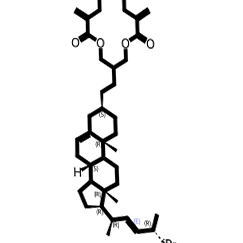 C=C(CO)C(=O)OCC(CC[C@H]1CC[C@@]2(C)C(=CC[C@@H]3C2CC[C@@]2(C)C3CC[C@@H]2[C@H](C)/C=C/[C@H](C)C(C)C)C1)COC(=O)C(=C)CO